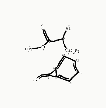 CCOC(=O)C(CC)C(=O)ON.O=c1c2ccccc12